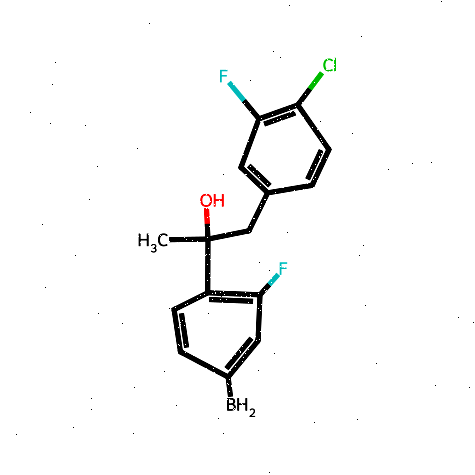 Bc1ccc(C(C)(O)Cc2ccc(Cl)c(F)c2)c(F)c1